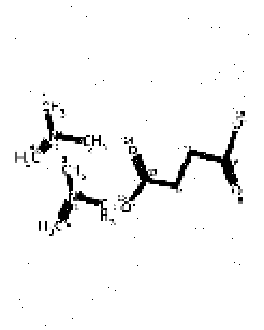 C=[N+](C)C.C=[N+](C)C.O=C([O-])CCC(=O)[O-]